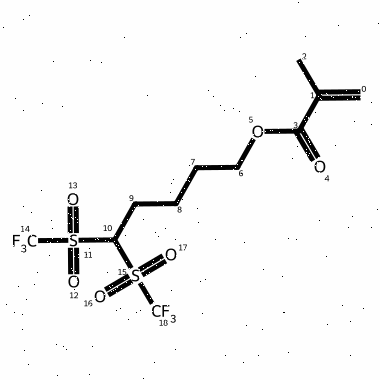 C=C(C)C(=O)OCCCCC(S(=O)(=O)C(F)(F)F)S(=O)(=O)C(F)(F)F